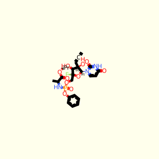 C=C=C[C@@]1(O)C(O)[C@@](F)(COP(=O)(NC(C)C(=O)OC(C)C)Oc2ccccc2)O[C@H]1n1ccc(=O)[nH]c1=O